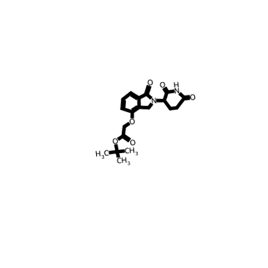 CC(C)(C)OC(=O)COc1cccc2c1CN(C1CCC(=O)NC1=O)C2=O